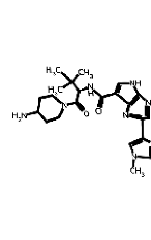 Cn1cnc(-c2cnc3[nH]cc(C(=O)N[C@@H](C(=O)N4CCC(N)CC4)C(C)(C)C)c3n2)c1